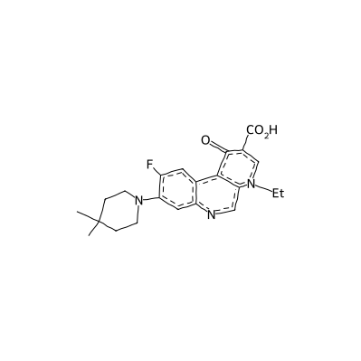 CCn1cc(C(=O)O)c(=O)c2c3cc(F)c(N4CCC(C)(C)CC4)cc3ncc21